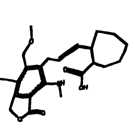 CNc1c(C/C=C/C2CCCCCC2C(=O)O)c(COC)c(C)c2c1C(=O)OC2